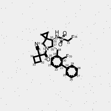 N#CC1(C(=O)N2CC3(CC3)[C@H](NS(=O)(=O)CF)[C@@H]2Cc2cccc(-c3ccccc3)c2F)CCC1